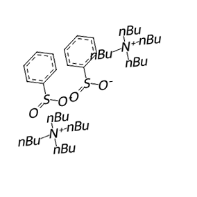 CCCC[N+](CCCC)(CCCC)CCCC.CCCC[N+](CCCC)(CCCC)CCCC.O=S([O-])c1ccccc1.O=S([O-])c1ccccc1